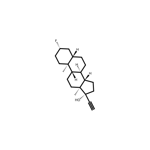 C#C[C@]1(O)CC[C@H]2[C@@H]3CC[C@H]4C[C@@H](F)CC[C@]4(C)[C@H]3CC[C@@]21C